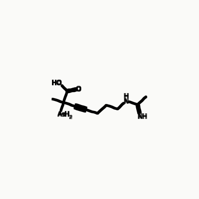 CC(=N)NCCCC#CC(C)([AsH2])C(=O)O